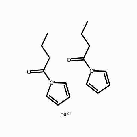 CCCC(=O)[c-]1cccc1.CCCC(=O)[c-]1cccc1.[Fe+2]